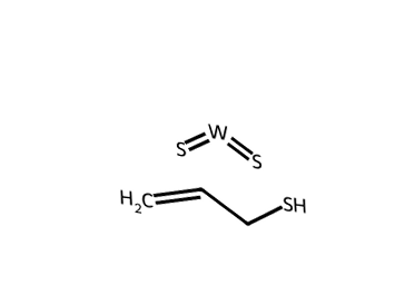 C=CCS.[S]=[W]=[S]